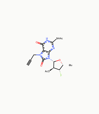 C#CCn1c(=O)n([C@@H]2O[C@H]([C@H](C)CC)[C@H](F)[C@H]2OC(C)=O)c2nc(NC(C)=O)[nH]c(=O)c21